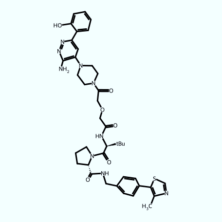 Cc1ncsc1-c1ccc(CNC(=O)[C@@H]2CCCN2C(=O)[C@@H](NC(=O)COCC(=O)N2CCN(c3cc(-c4ccccc4O)nnc3N)CC2)C(C)(C)C)cc1